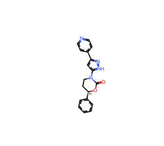 O=C1O[C@@H](c2ccccc2)CCN1c1cc(-c2ccncc2)n[nH]1